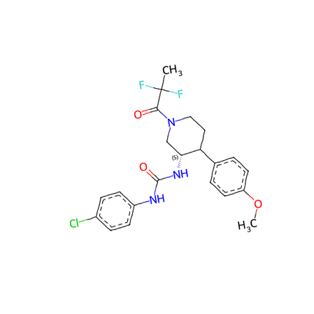 COc1ccc(C2CCN(C(=O)C(C)(F)F)C[C@H]2NC(=O)Nc2ccc(Cl)cc2)cc1